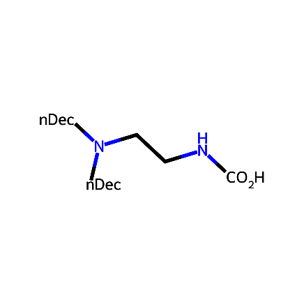 CCCCCCCCCCN(CCCCCCCCCC)CCNC(=O)O